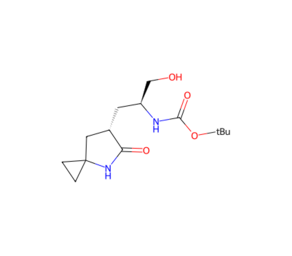 CC(C)(C)OC(=O)N[C@H](CO)C[C@H]1CC2(CC2)NC1=O